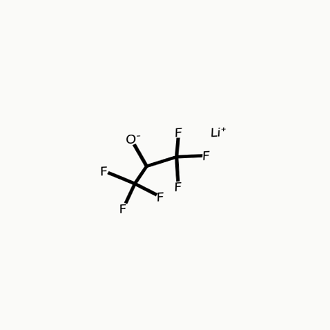 [Li+].[O-]C(C(F)(F)F)C(F)(F)F